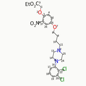 CCOC(=O)COc1ccc(OCCCCN2CCN(c3cccc(Cl)c3Cl)CC2)cc1[N+](=O)[O-]